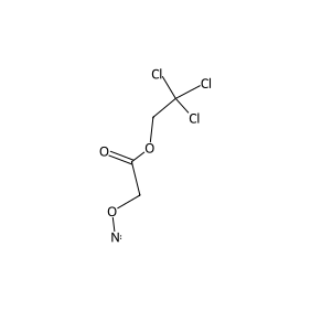 [N]OCC(=O)OCC(Cl)(Cl)Cl